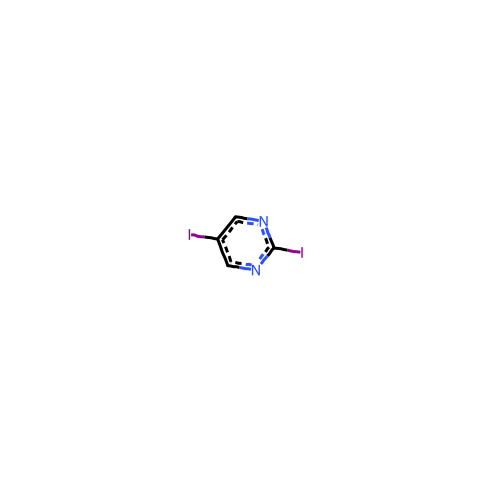 Ic1cnc(I)nc1